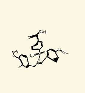 COc1ccc(CN(Cc2ccc(OC)c(F)c2)S(=O)(=O)c2ccc(C(=O)O)cc2)cc1